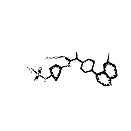 CO/N=C(\Nc1ccc(NS(N)(=O)=O)cc1)C(C)C1CCC(c2ccnc3ccc(F)cc23)CC1